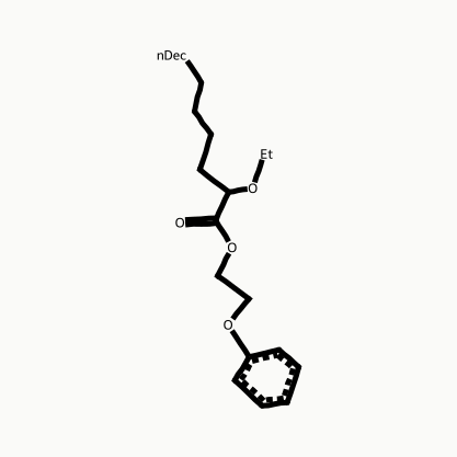 CCCCCCCCCCCCCCC(OCC)C(=O)OCCOc1ccccc1